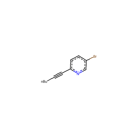 CCCCC#Cc1ccc(Br)cn1